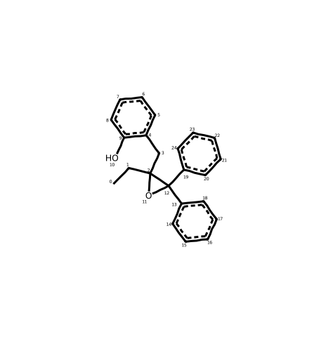 CCC1(Cc2ccccc2O)OC1(c1ccccc1)c1ccccc1